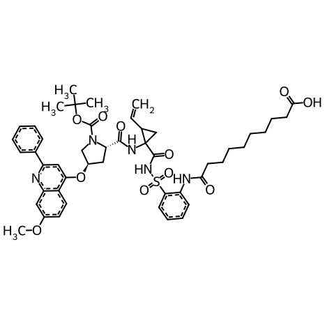 C=CC1CC1(NC(=O)[C@@H]1C[C@@H](Oc2cc(-c3ccccc3)nc3cc(OC)ccc23)CN1C(=O)OC(C)(C)C)C(=O)NS(=O)(=O)c1ccccc1NC(=O)CCCCCCCCC(=O)O